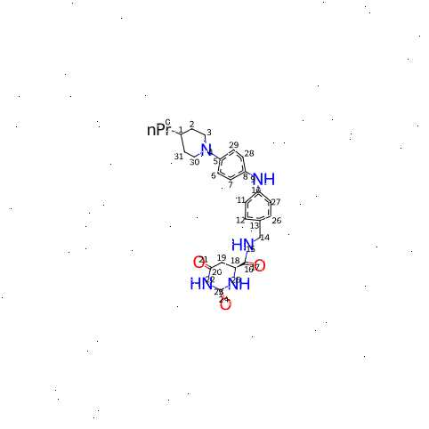 CCCC1CCN(c2ccc(Nc3ccc(CNC(=O)[C@@H]4CC(=O)NC(=O)N4)cc3)cc2)CC1